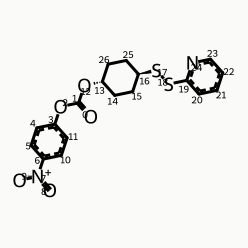 O=C(Oc1ccc([N+](=O)[O-])cc1)O[C@H]1CC[C@H](SSc2ccccn2)CC1